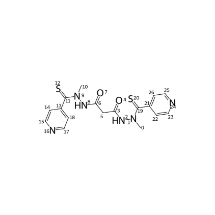 CN(NC(=O)CC(=O)NN(C)C(=S)c1ccncc1)C(=S)c1ccncc1